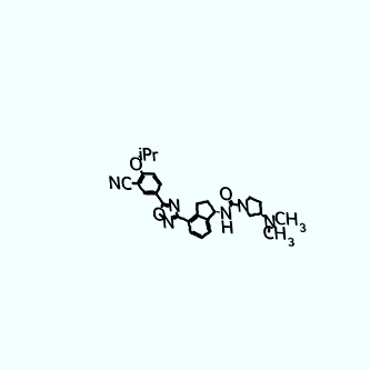 CC(C)Oc1ccc(-c2nc(-c3cccc4c3CC[C@@H]4NC(=O)N3CC[C@@H](N(C)C)C3)no2)cc1C#N